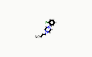 N#CCCCN1CCN(c2ccccc2F)CC1